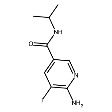 CC(C)NC(=O)c1cnc(N)c(I)c1